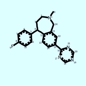 CN1CCC(c2ccc(F)cc2)c2ccc(-c3ncncn3)cc2C1